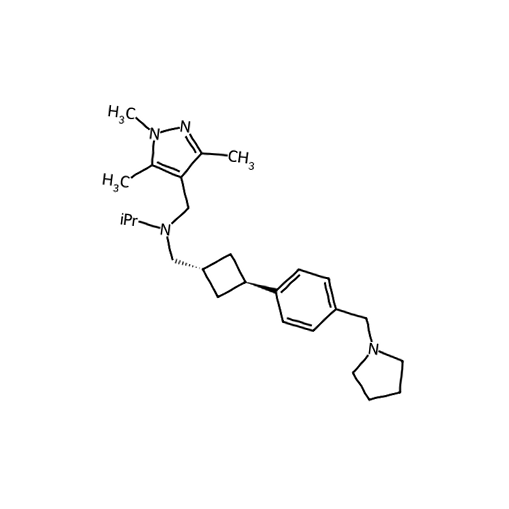 Cc1nn(C)c(C)c1CN(C[C@H]1C[C@H](c2ccc(CN3CCCC3)cc2)C1)C(C)C